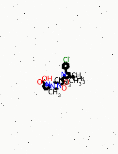 Cc1ccc(C(=O)O)nc1N1CCN(C(=O)c2cc3nc(-c4ccc(Cl)cc4)cc(C(C)(C)C)c3o2)C(C)(C)C1